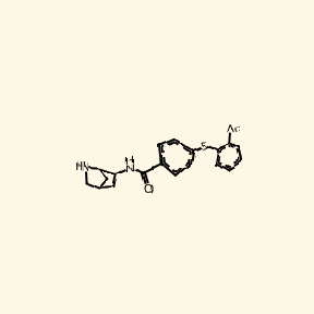 CC(=O)c1ccccc1Sc1ccc(C(=O)NC2CC3CNC2C3)cc1